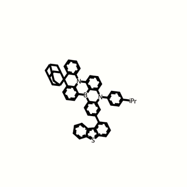 CC(C)c1ccc(N2c3cc(-c4cccc5sc6ccccc6c45)ccc3B3c4cccc5c4N(c4ccccc4C54C5CC6CC(C5)CC4C6)c4cccc2c43)cc1